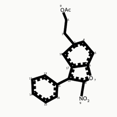 CC(=O)OCCc1ccc2oc([N+](=O)[O-])c(-c3ccccc3)c2c1